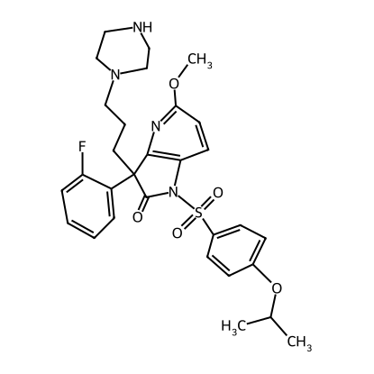 COc1ccc2c(n1)C(CCCN1CCNCC1)(c1ccccc1F)C(=O)N2S(=O)(=O)c1ccc(OC(C)C)cc1